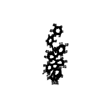 c1ccc(-c2cccc(-n3c4ccccc4c4c(-c5cccc6c5-c5ccccc5C65C6CC7CC(C6)CC5C7)cccc43)c2)cc1